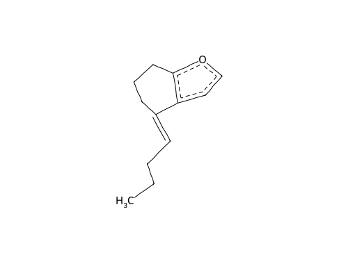 CCCC=C1CCCc2occc21